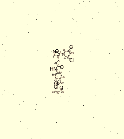 O=C(CCc1cnoc1-c1cc(Cl)cc(Cl)c1)Nc1ccc(CP2(=O)OCCCO2)cc1